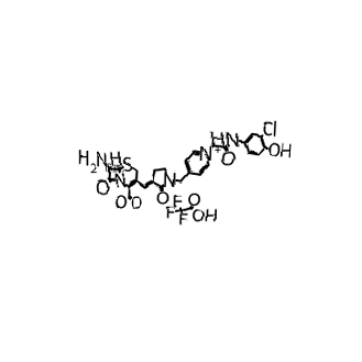 N[C@@H]1C(=O)N2C(C(=O)[O-])=C(C=C3CCN(Cc4cc[n+](CC(=O)Nc5ccc(O)c(Cl)c5)cc4)C3=O)CS[C@H]12.O=C(O)C(F)(F)F